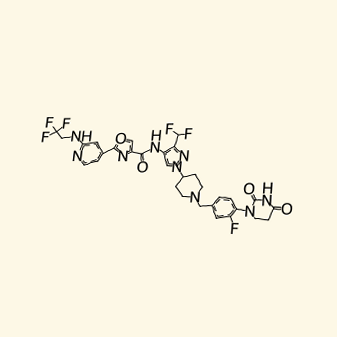 O=C1CCN(c2ccc(CN3CCC(n4cc(NC(=O)c5coc(-c6ccnc(NCC(F)(F)F)c6)n5)c(C(F)F)n4)CC3)cc2F)C(=O)N1